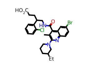 CCC1CCCN(c2nc3ccc(Br)cc3c(C(=O)NCC(CCC(=O)O)c3ccccc3Cl)c2C)C1